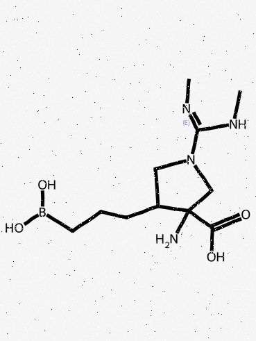 C/N=C(\NC)N1CC(CCCB(O)O)C(N)(C(=O)O)C1